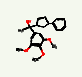 COc1cc(C(C)(O)C2CCC(c3ccccc3)C2)cc(OC)c1OC